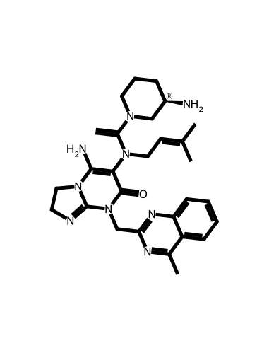 C=C(N1CCC[C@@H](N)C1)N(CC=C(C)C)C1=C(N)N2CCN=C2N(Cc2nc(C)c3ccccc3n2)C1=O